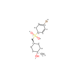 C[C@]1(O)CC[C@@H](CS(=O)(=O)C2C=CC(Br)=CC2)CC1